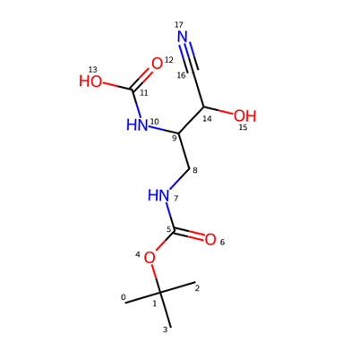 CC(C)(C)OC(=O)NCC(NC(=O)O)C(O)C#N